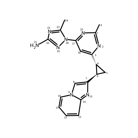 Cc1nc([C@@H]2C[C@H]2c2cn3ccccc3n2)cc(-n2nc(N)nc2C)n1